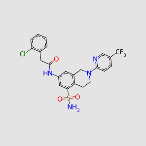 NS(=O)(=O)c1cc(NC(=O)Cc2ccccc2Cl)cc2c1CCN(c1ccc(C(F)(F)F)cn1)C2